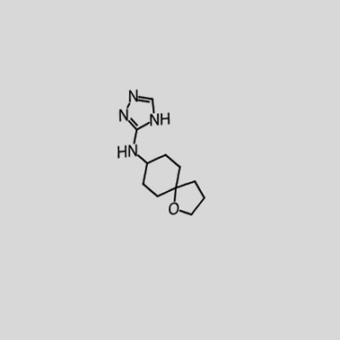 c1nnc(NC2CCC3(CCCO3)CC2)[nH]1